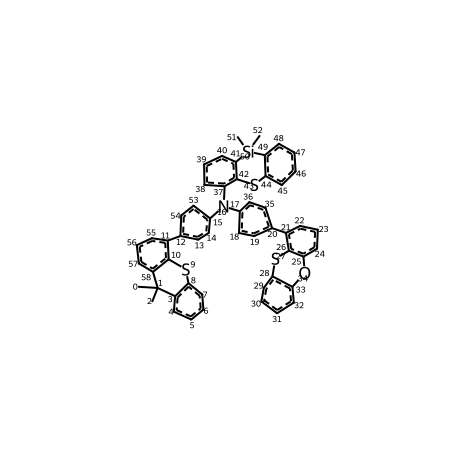 CC1(C)c2ccccc2Sc2c(-c3ccc(N(c4ccc(-c5cccc6c5Sc5ccccc5O6)cc4)c4cccc5c4Sc4ccccc4[Si]5(C)C)cc3)cccc21